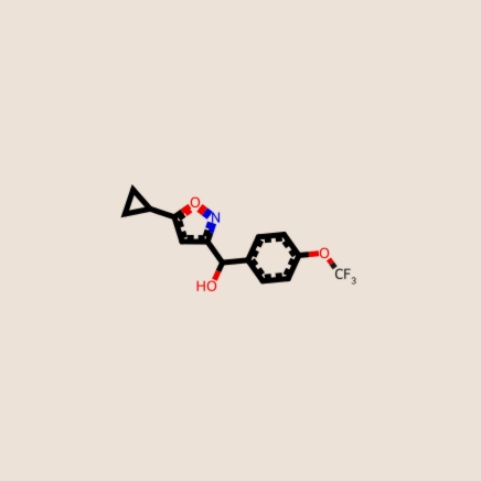 OC(c1ccc(OC(F)(F)F)cc1)c1cc(C2CC2)on1